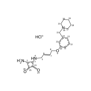 Cl.Nc1c(NCC=CCOc2cccc(CN3CCCCC3)c2)c(=O)c1=O